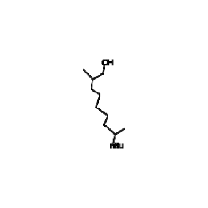 CCCCC(C)CCCCCC(C)CO